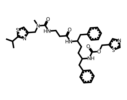 CC(C)c1nc(CN(C)C(=O)NCCC(=O)NC(CCC(Cc2ccccc2)NC(=O)OCc2cncs2)Cc2ccccc2)cs1